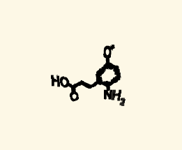 COc1ccc(N)c(C=CC(=O)O)c1